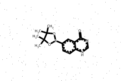 CC1(C)OB(c2ccc3[nH]cnc(=O)c3c2)OC1(C)C